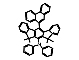 CC1(C)c2ccccc2-c2c(-c3cc4ccccc4c4ccccc34)c3c(c(N(c4ccccc4)c4ccccc4)c21)C(C)(C)c1ccccc1-3